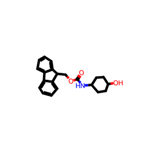 O=C(NC1CCC(O)CC1)OCC1c2ccccc2-c2ccccc21